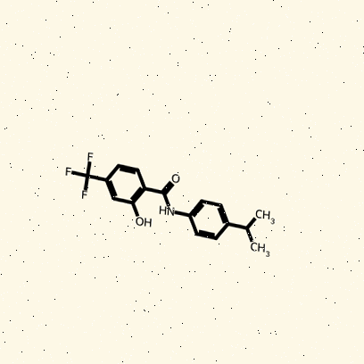 CC(C)c1ccc(NC(=O)c2ccc(C(F)(F)F)cc2O)cc1